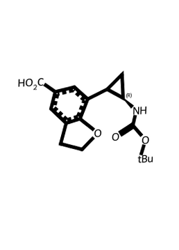 CC(C)(C)OC(=O)N[C@@H]1CC1c1cc(C(=O)O)cc2c1OCC2